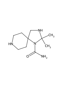 CC1(C)NCC2(CCNCC2)N1C(N)=O